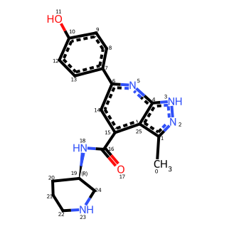 Cc1n[nH]c2nc(-c3ccc(O)cc3)cc(C(=O)N[C@@H]3CCCNC3)c12